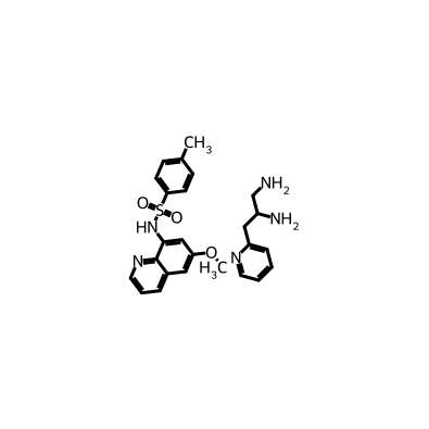 COc1cc(NS(=O)(=O)c2ccc(C)cc2)c2ncccc2c1.NCC(N)Cc1ccccn1